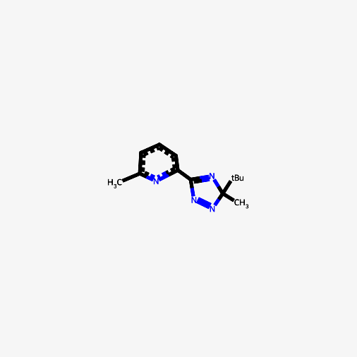 Cc1cccc(C2=NC(C)(C(C)(C)C)N=N2)n1